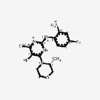 C[C@@H]1COCCN1c1nc(Nc2ccc(F)cc2N)nc(Cl)c1F